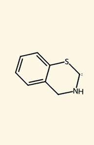 [C]1NCc2ccccc2S1